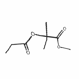 CCC(=O)OC(C)(C)C(=O)OC